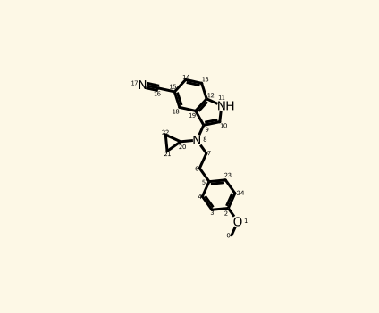 COc1ccc(CCN(c2c[nH]c3ccc(C#N)cc23)C2CC2)cc1